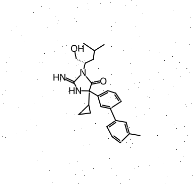 Cc1cccc(-c2cccc(C3(C4CC4)NC(=N)N([C@H](CO)CC(C)C)C3=O)c2)c1